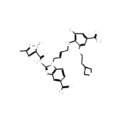 CCn1nc(C)cc1C(=O)Nc1nc2cc(C(N)=O)ccc2n1C/C=C/CNc1c(OCCC2COC2)cc(C(N)=O)cc1[N+](=O)[O-]